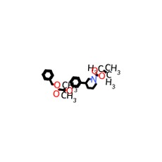 CC(C)(C)OC(=O)N1CCCC(c2cccc(OC(C)(C)C(=O)OCc3ccccc3)c2)C1